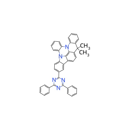 CC1(C)c2ccccc2N2c3ccccc3-n3c4ccc(-c5nc(-c6ccccc6)nc(-c6ccccc6)n5)cc4c4ccc1c2c43